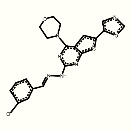 Clc1cccc(/C=N/Nc2nc(N3CCOCC3)c3cc(-c4cnco4)sc3n2)c1